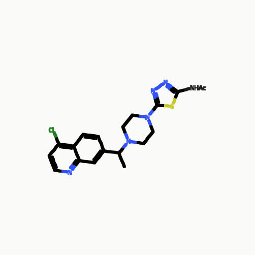 CC(=O)Nc1nnc(N2CCN(C(C)c3ccc4c(Cl)ccnc4c3)CC2)s1